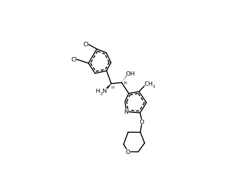 Cc1cc(OC2CCOCC2)ncc1[C@@H](O)[C@@H](N)c1ccc(Cl)c(Cl)c1